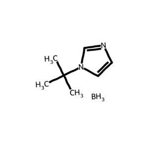 B.CC(C)(C)n1ccnc1